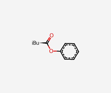 CC[C@H](C)C(=O)Oc1ccccc1